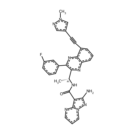 C[C@@H](NC(=O)c1c(N)nn2cccnc12)c1nc2cccc(C#Cc3cnn(C)c3)c2nc1-c1cccc(F)c1